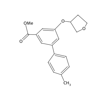 COC(=O)c1cc(OC2CCOC2)cc(-c2ccc(C)cc2)c1